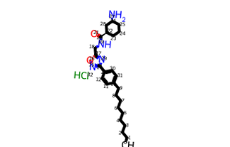 CCCCCCCCCCc1ccc(-c2noc(CNC(=O)[C@@H]3CCC[C@H](N)C3)n2)cc1.Cl